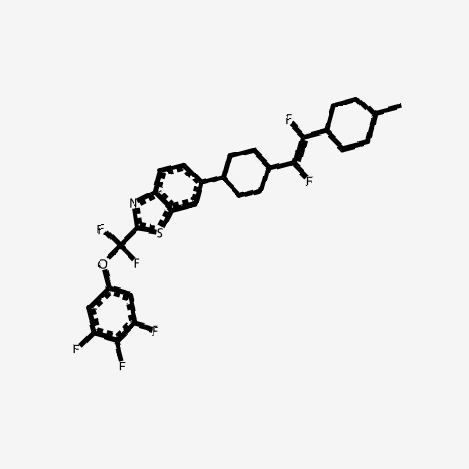 CC1CCC(/C(F)=C(\F)C2CCC(c3ccc4nc(C(F)(F)Oc5cc(F)c(F)c(F)c5)sc4c3)CC2)CC1